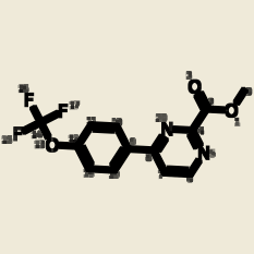 COC(=O)c1nccc(-c2ccc(OC(F)(F)F)cc2)n1